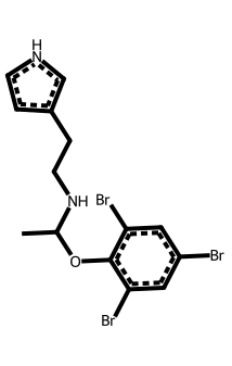 CC(NCCc1cc[nH]c1)Oc1c(Br)cc(Br)cc1Br